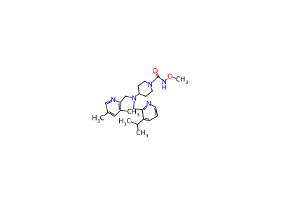 CONC(=O)N1CCC(N(Cc2ncc(C)cc2C)Cc2ncccc2C(C)C)CC1